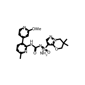 COc1cc(-c2ccc(C)nc2NC(=O)N=[S@@](N)(=O)c2cnn3c2OCC(C)(C)C3)ccn1